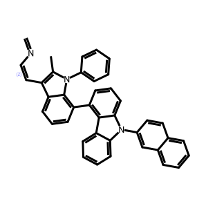 C=N/C=C\c1c(C)n(-c2ccccc2)c2c(-c3cccc4c3c3ccccc3n4-c3ccc4ccccc4c3)cccc12